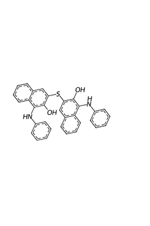 Oc1c(Sc2cc3ccccc3c(Nc3ccccc3)c2O)cc2ccccc2c1Nc1ccccc1